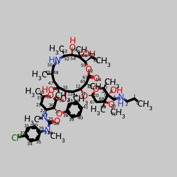 CCCNC[C@]1(O)[C@H](C)O[C@@H](O[C@H]2[C@H](C)[C@@H](O[C@@H]3O[C@H](C)C[C@H](N(C)C(=O)N(C)c4ccc(Cl)cc4)[C@H]3Oc3ccccc3)[C@](C)(O)C[C@@H](C)CN[C@H](C)[C@@H](O)[C@](C)(O)[C@@H](CC)OC(=O)[C@@H]2C)C[C@@]1(C)OC